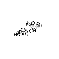 CC(C)(OP(=O)(O)O)c1ncc(-c2ccc3nc4c(n3c2)[C@@H]2C[C@@H]4NC(=O)c3cccc(OC(F)F)c32)cn1